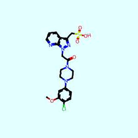 COc1cc(N2CCN(C(=O)Cn3nc(CS(=O)(=O)O)c4cccnc43)CC2)ccc1Cl